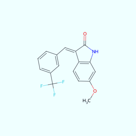 COc1ccc2c(c1)NC(=O)/C2=C/c1cccc(C(F)(F)F)c1